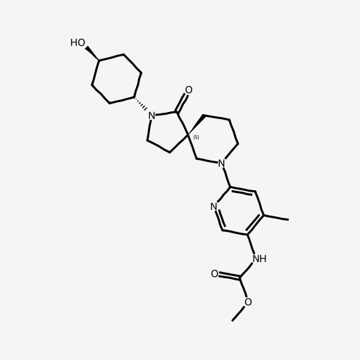 COC(=O)Nc1cnc(N2CCC[C@]3(CCN([C@H]4CC[C@H](O)CC4)C3=O)C2)cc1C